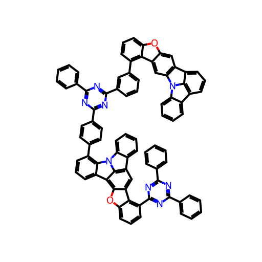 c1ccc(-c2nc(-c3ccc(-c4cccc5c6c7oc8cccc(-c9nc(-c%10ccccc%10)nc(-c%10ccccc%10)n9)c8c7cc7c8ccccc8n(c45)c76)cc3)nc(-c3cccc(-c4cccc5oc6cc7c8cccc9c%10ccccc%10n(c7cc6c45)c98)c3)n2)cc1